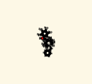 [2H]c1c([2H])c([2H])c(NC2(C([2H])([2H])O)C([2H])([2H])C([2H])([2H])N(Cc3ccccc3)C([2H])([2H])C2([2H])[2H])c([2H])c1[2H]